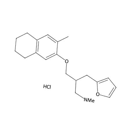 CNCC(COc1cc2c(cc1C)CCCC2)Cc1ccco1.Cl